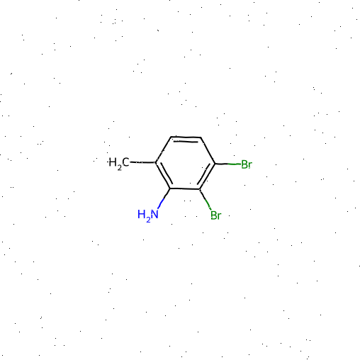 [CH2]c1ccc(Br)c(Br)c1N